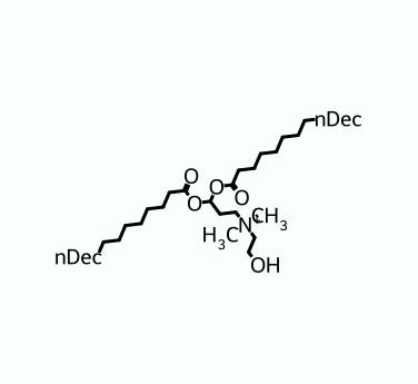 CCCCCCCCCCCCCCCCCC(=O)OC(CC[N+](C)(C)CCO)OC(=O)CCCCCCCCCCCCCCCCC